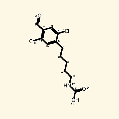 O=Cc1cc(Cl)c(CCCCCNC(=O)O)cc1Cl